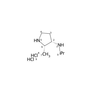 CC(C)N[C@H]1CCN[C@H]1C.Cl.Cl